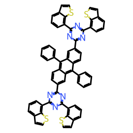 c1ccc(-c2c3ccc(-c4nc(-c5cccc6ccsc56)nc(-c5cccc6ccsc56)n4)cc3c(-c3ccccc3)c3ccc(-c4nc(-c5cccc6ccsc56)nc(-c5cccc6ccsc56)n4)cc23)cc1